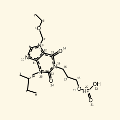 CCCC.CCOCn1cnc2c1c(=O)n(CCCO[PH](=O)O)c(=O)n2C